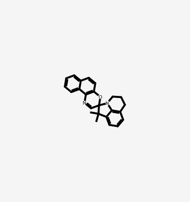 CC1(C)c2cccc3c2N(CCC3)C12C=Nc1c(ccc3ccccc13)O2